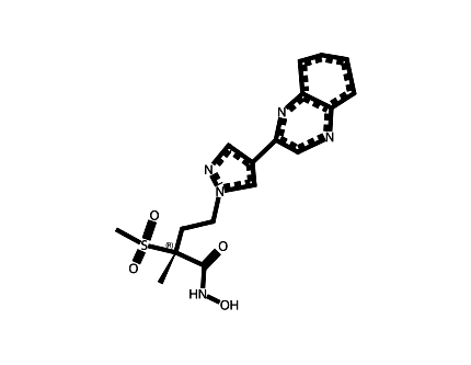 C[C@@](CCn1cc(-c2cnc3ccccc3n2)cn1)(C(=O)NO)S(C)(=O)=O